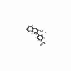 Cc1cc2ccccc2nc1-c1ccc([N+](=O)[O-])cc1